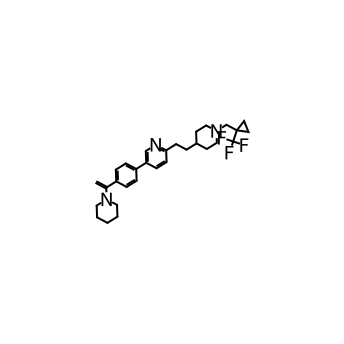 C=C(c1ccc(-c2ccc(CCC3CCN(CC4(C(F)(F)F)CC4)CC3)nc2)cc1)N1CCCCC1